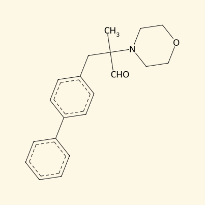 CC(C=O)(Cc1ccc(-c2ccccc2)cc1)N1CCOCC1